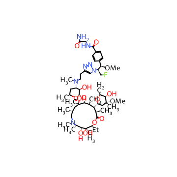 CC[C@H]1OC(=O)[C@H](C)C([C@H]2C[C@@](C)(OC)[C@@H](O)[C@H](C)O2)[C@H](C)[C@@H](O[C@@H]2O[C@H](C)C[C@H](N(C)CCc3cn([C@H](CF)[C@H](OC)c4ccc(C(=O)NCC(N)=O)cc4)nn3)[C@H]2O)[C@](C)(O)C[C@@H](C)CN(C)[C@H](C)[C@@H](O)[C@]1(C)O